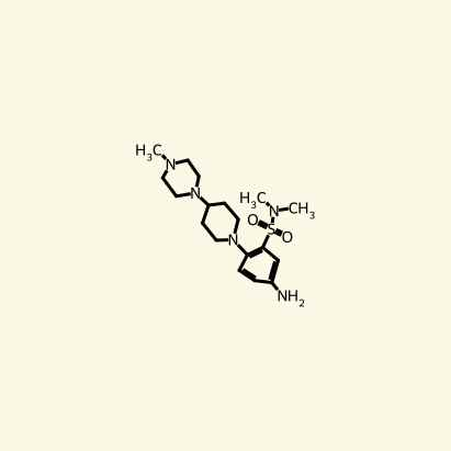 CN1CCN(C2CCN(c3ccc(N)cc3S(=O)(=O)N(C)C)CC2)CC1